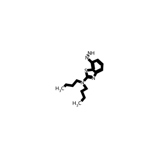 CCCCN(CCCC)c1nc2cccc(N=N)c2s1